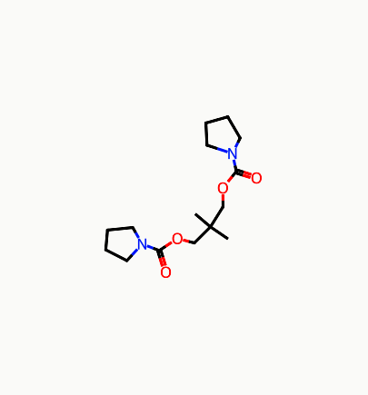 CC(C)(COC(=O)N1CCCC1)COC(=O)N1CCCC1